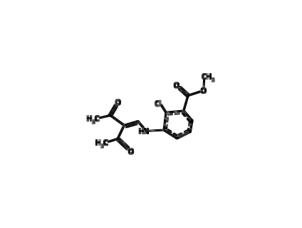 COC(=O)c1cccc(NC=C(C(C)=O)C(C)=O)c1Cl